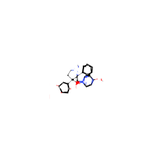 CCOc1ccc(C(=O)C2(c3ccc(O)c(O)c3)CCN(C)C23C(=O)Nc2ccccc23)cc1